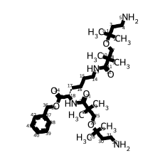 CC(C)(CCN)OCC(C)(C)C(=O)NCCCC[C@H](NC(=O)C(C)(C)COC(C)(C)CCN)C(=O)OCc1ccccc1